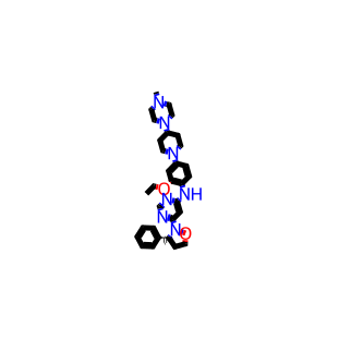 CCOc1cc(N2CCC(N3CCN(C)CC3)CC2)ccc1Nc1cc(N2OCC[C@@H]2c2ccccc2)ncn1